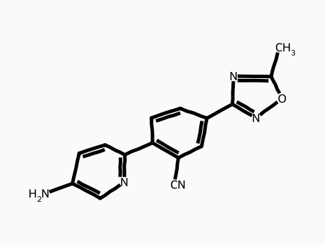 Cc1nc(-c2ccc(-c3ccc(N)cn3)c(C#N)c2)no1